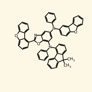 CC1(C)c2ccccc2-c2c(N(c3ccccc3)c3cc(N(c4ccccc4)c4ccc5oc6ccccc6c5c4)cc4nc(-c5cccc6oc7ccccc7c56)oc34)cccc21